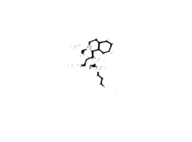 CCCCNC(=O)NC(CC(N)=O)C1C2CCCCC2CCN1C(=O)O